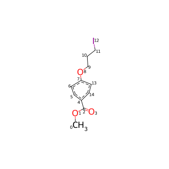 COC(=O)c1ccc(OCCCI)cc1